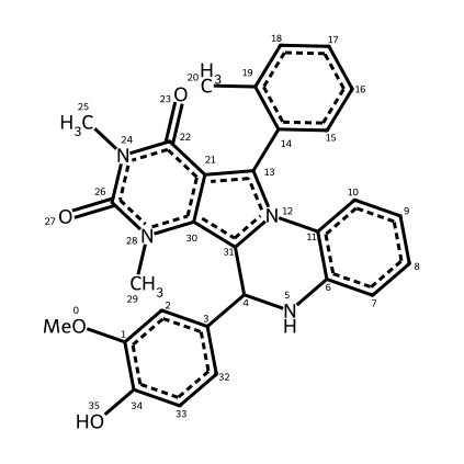 COc1cc(C2Nc3ccccc3-n3c(-c4ccccc4C)c4c(=O)n(C)c(=O)n(C)c4c32)ccc1O